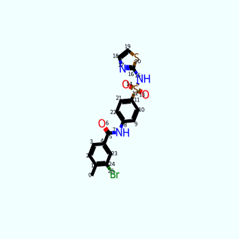 Cc1ccc(C(=O)Nc2ccc(S(=O)(=O)Nc3nccs3)cc2)cc1Br